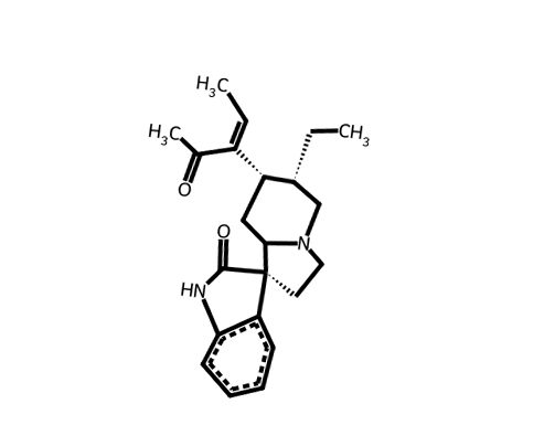 CC=C(C(C)=O)[C@H]1CC2N(CC[C@]23C(=O)Nc2ccccc23)C[C@H]1CC